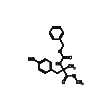 COC(=O)C(C)(Cc1ccc(O)cc1)NC(=O)OCc1ccccc1